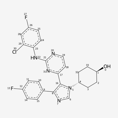 O[C@H]1CC[C@H](n2cnc(-c3ccc(F)cc3)c2-c2ccnc(Nc3ccc(F)cc3Cl)n2)CC1